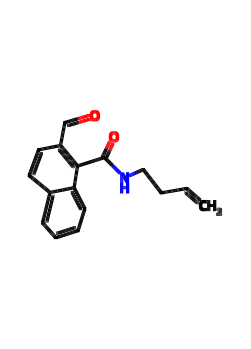 C=CCCNC(=O)c1c(C=O)ccc2ccccc12